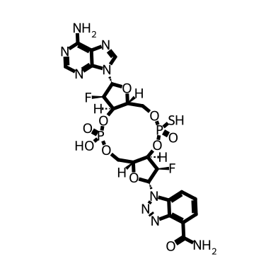 NC(=O)c1cccc2c1nnn2[C@@H]1O[C@@H]2COP(=O)(O)O[C@H]3[C@@H](F)[C@H](n4cnc5c(N)ncnc54)O[C@@H]3COP(=O)(S)O[C@H]2[C@H]1F